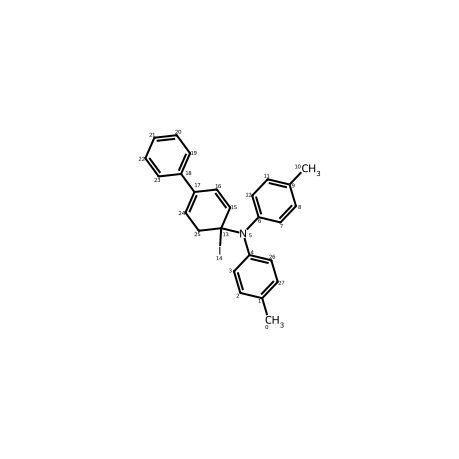 Cc1ccc(N(c2ccc(C)cc2)C2(I)C=CC(c3ccccc3)=CC2)cc1